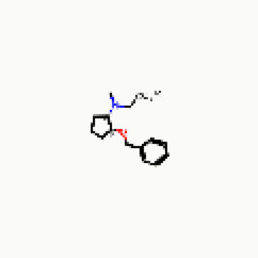 CN(CC(=O)O)[C@H]1CCC[C@@H]1OCc1ccccc1